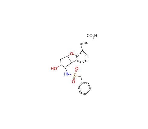 O=C(O)C=Cc1cccc2c1OC1CC(O)C(NS(=O)(=O)Cc3ccccc3)C21